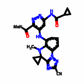 CNC(=O)c1nnc(NC(=O)C2CC2)cc1Nc1cccc2c1N(C)C1(CC1)c1nc(C#N)nn1-2